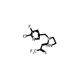 Fc1cc(CN2CCNC2=CC(=S)C(F)(F)F)cnc1Cl